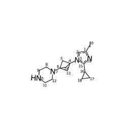 Ic1cn(C23CC(N4CCNCC4)(C2)C3)c(C2CC2)n1